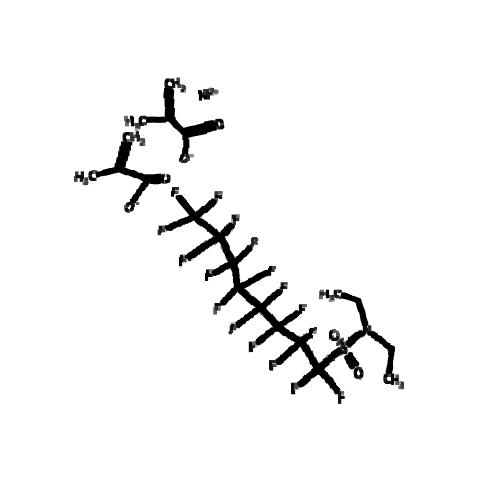 C=C(C)C(=O)[O-].C=C(C)C(=O)[O-].CCN(CC)S(=O)(=O)C(F)(F)C(F)(F)C(F)(F)C(F)(F)C(F)(F)C(F)(F)C(F)(F)C(F)(F)F.[Ni+2]